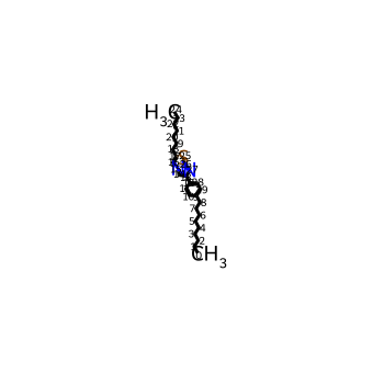 CCCCCCCCCc1ccc(-c2cn3cc(CCCCCCC)sc3n2)cc1